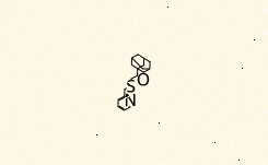 O=C(CSCc1ccccn1)C12CC3CC(CC(C3)C1)C2